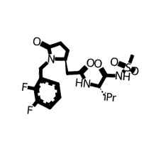 CC(C)[C@H](NC(=O)C[C@@H]1CCC(=O)N1Cc1cccc(F)c1F)C(=O)NS(C)(=O)=O